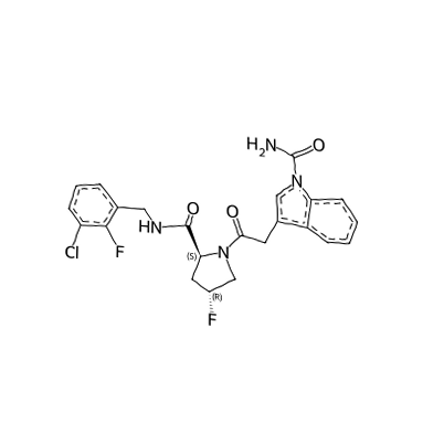 NC(=O)n1cc(CC(=O)N2C[C@H](F)C[C@H]2C(=O)NCc2cccc(Cl)c2F)c2ccccc21